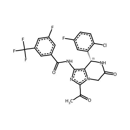 CC(=O)c1nc(NC(=O)c2cc(F)cc(C(F)(F)F)c2)c2n1CC(=O)N[C@H]2c1cc(F)ccc1Cl